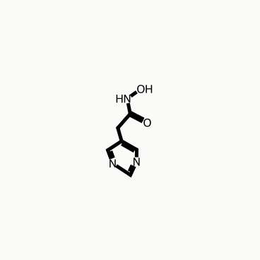 O=C(Cc1cncnc1)NO